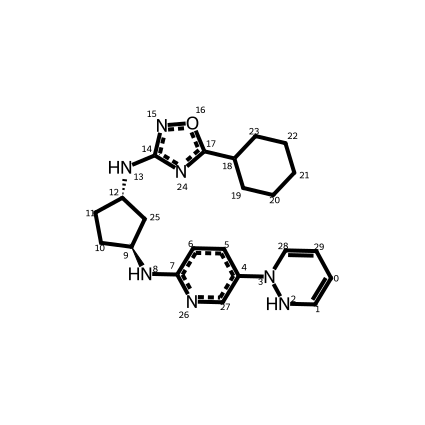 C1=CNN(c2ccc(N[C@H]3CC[C@H](Nc4noc(C5CCCCC5)n4)C3)nc2)C=C1